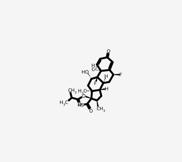 CC(C)C(=O)O[C@]1(C(=O)S)[C@H](C)C[C@H]2[C@@H]3C[C@H](F)C4=CC(=O)C=C[C@]4(C)[C@@]3(F)[C@@H](O)C[C@@]21C